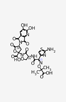 CC(C)(O/N=C(\C(=O)N[C@H]1CON(C2(C(=O)O)C[C@H](N3C(=O)c4cc(O)c(O)nc4C3=O)C(=O)O2)C1=O)c1csc(N)n1)C(=O)O